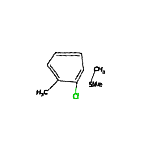 CSC.Cc1ccccc1Cl